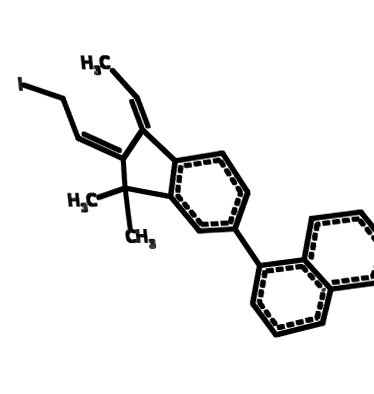 C/C=C1\C(=C/CI)C(C)(C)c2cc(-c3cccc4ccccc34)ccc21